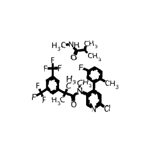 CNC(=O)C(C)C.Cc1ccc(F)cc1-c1cc(Cl)ncc1N(C)C(=O)C(C)(C)c1cc(C(F)(F)F)cc(C(F)(F)F)c1